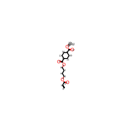 C=CC(=O)OCCCCOC(=O)C1CCC(C(=O)OC(C)CC)CC1